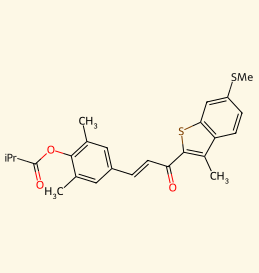 CSc1ccc2c(C)c(C(=O)C=Cc3cc(C)c(OC(=O)C(C)C)c(C)c3)sc2c1